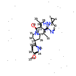 C=N/C(NC1(C)CC1)=C(\CC)C(C(=O)N1CCC(c2ccc(OC)cn2)CC1)=C(C)C